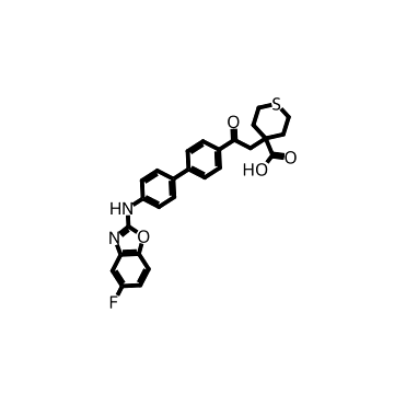 O=C(CC1(C(=O)O)CCSCC1)c1ccc(-c2ccc(Nc3nc4cc(F)ccc4o3)cc2)cc1